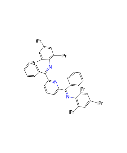 CC(C)c1cc(C(C)C)c(/N=C(\c2ccccc2)c2cccc(/C(=N/c3c(C(C)C)cc(C(C)C)cc3C(C)C)c3ccccc3)n2)c(C(C)C)c1